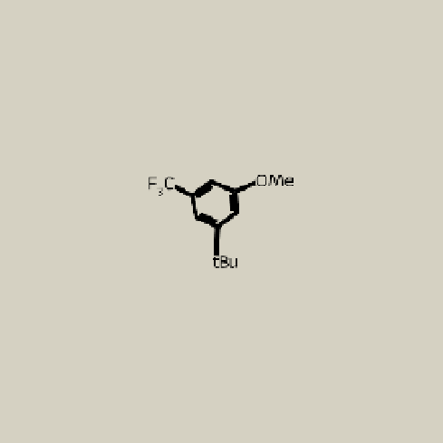 COc1cc(C(C)(C)C)cc(C(F)(F)F)c1